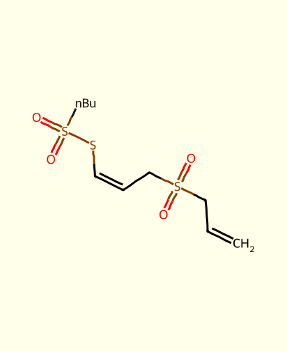 C=CCS(=O)(=O)C/C=C\SS(=O)(=O)CCCC